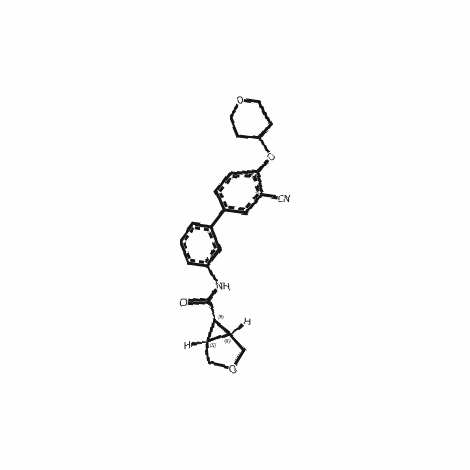 N#Cc1cc(-c2cccc(NC(=O)[C@H]3[C@@H]4COC[C@@H]43)c2)ccc1OC1CCOCC1